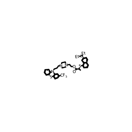 CCN(CC)c1ccc2cccc(SC(C)C(=O)OCCN3CCN(CCCN4c5ccccc5Sc5ccc(C(F)(F)F)cc54)CC3)c2c1